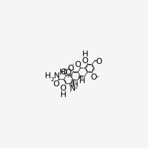 COC1=C2C(=O)c3c(O)c(C=O)cc(OC)c3C[C@H]2C[C@H]2[C@H](N(C)C)C(O)=C(C(N)=O)C(=O)[C@@]12O